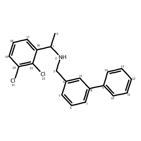 CC(NCc1cccc(-c2ccccc2)c1)c1cccc(Cl)c1Cl